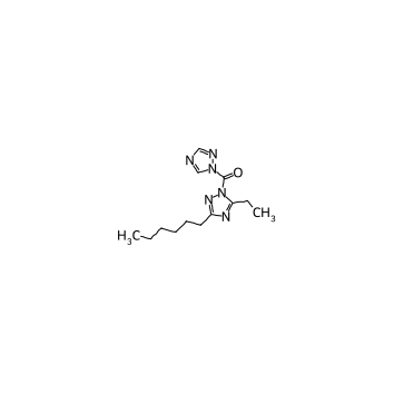 CCCCCCc1nc(CC)n(C(=O)n2cncn2)n1